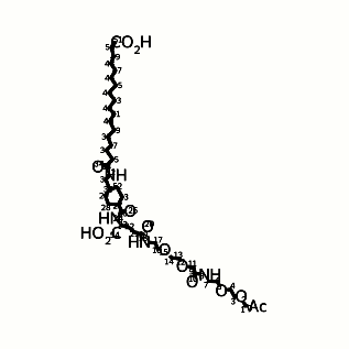 CC(=O)COCCOCCNC(=O)COCCOCCNC(=O)CC[C@H](NC(=O)C1CCC(CNC(=O)CCCCCCCCCCCCCCCCC(=O)O)CC1)C(=O)O